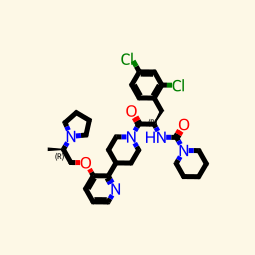 C[C@H](COc1cccnc1C1CCN(C(=O)[C@@H](Cc2ccc(Cl)cc2Cl)NC(=O)N2CCCCC2)CC1)N1CCCC1